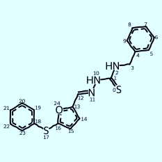 S=C(NCc1ccccc1)NN=Cc1ccc(Sc2ccccc2)o1